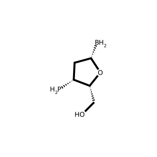 B[C@H]1C[C@@H](P)[C@@H](CO)O1